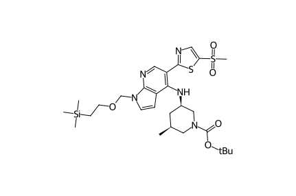 C[C@H]1C[C@@H](Nc2c(-c3ncc(S(C)(=O)=O)s3)cnc3c2ccn3COCC[Si](C)(C)C)CN(C(=O)OC(C)(C)C)C1